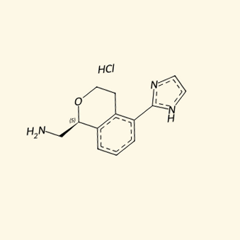 Cl.NC[C@H]1OCCc2c(-c3ncc[nH]3)cccc21